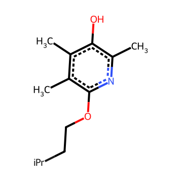 Cc1nc(OCCC(C)C)c(C)c(C)c1O